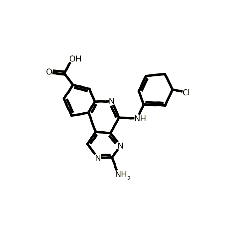 Nc1ncc2c(n1)c(NC1=CC(Cl)CC=C1)nc1cc(C(=O)O)ccc12